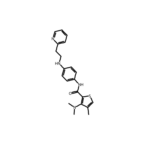 Cc1csc(C(=O)Nc2ccc(NCCc3ccccn3)cc2)c1N(C)C